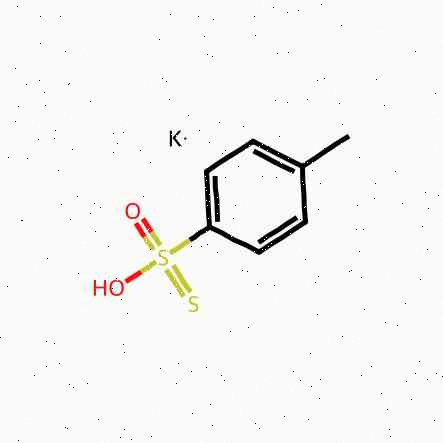 Cc1ccc(S(=O)(O)=S)cc1.[K]